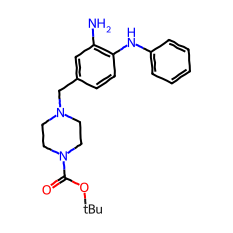 CC(C)(C)OC(=O)N1CCN(Cc2ccc(Nc3ccccc3)c(N)c2)CC1